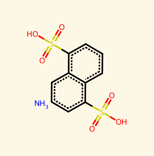 N.O=S(=O)(O)c1cccc2c(S(=O)(=O)O)cccc12